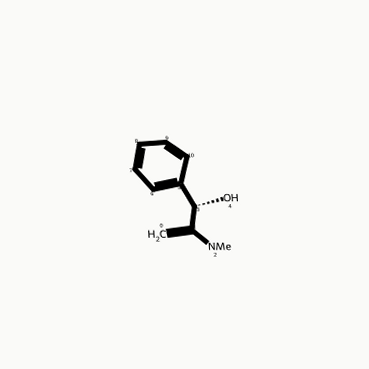 C=C(NC)[C@@H](O)c1ccccc1